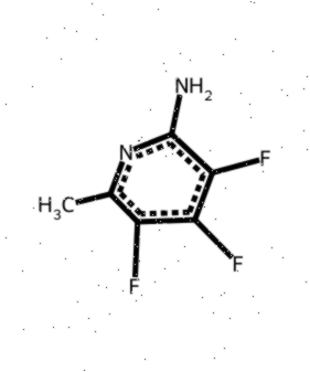 Cc1nc(N)c(F)c(F)c1F